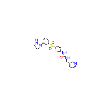 O=C(NCc1cccnc1)Nc1ccc(S(=O)(=O)c2cccc(N3CCCN3)c2)cc1